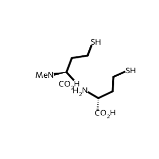 CN[C@@H](CCS)C(=O)O.N[C@H](CCS)C(=O)O